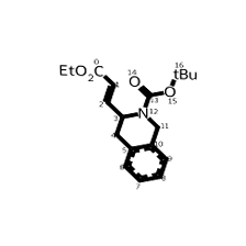 CCOC(=O)/C=C/C1Cc2ccccc2CN1C(=O)OC(C)(C)C